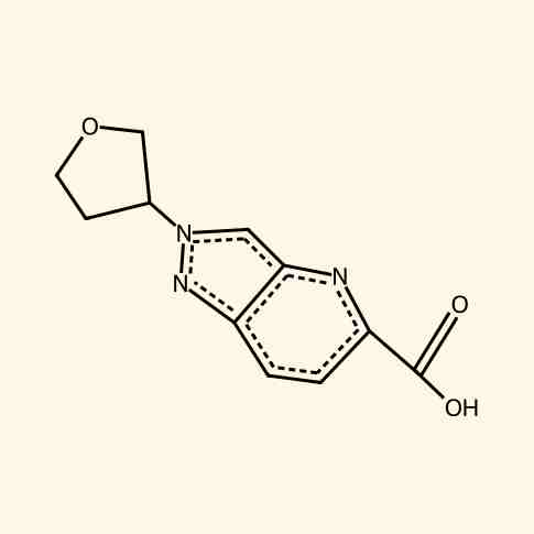 O=C(O)c1ccc2nn(C3CCOC3)cc2n1